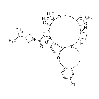 CO[C@H]1C(C)CCOC(C)(C)C(=O)N=S(=O)(NC(=O)N2CC(N(C)C)C2)c2ccc3c(c2)N(CCCCc2cc(Cl)ccc2CO3)C[C@@H]2CC[C@H]21